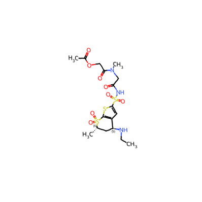 CCN[C@H]1C[C@H](C)S(=O)(=O)c2sc(S(=O)(=O)NC(=O)CN(C)C(=O)COC(C)=O)cc21